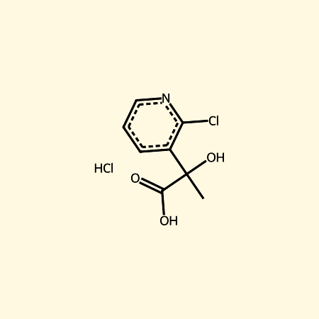 CC(O)(C(=O)O)c1cccnc1Cl.Cl